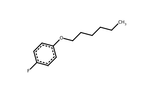 CCCCCCOc1c[c]c(F)cc1